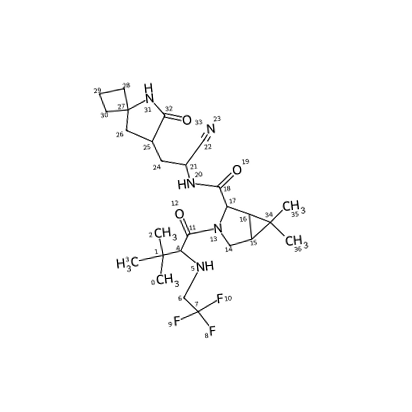 CC(C)(C)C(NCC(F)(F)F)C(=O)N1CC2C(C1C(=O)NC(C#N)CC1CC3(CCC3)NC1=O)C2(C)C